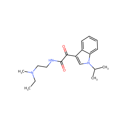 CCN(C)CCNC(=O)C(=O)c1cn(C(C)C)c2ccccc12